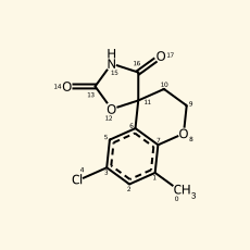 Cc1cc(Cl)cc2c1OCCC21OC(=O)NC1=O